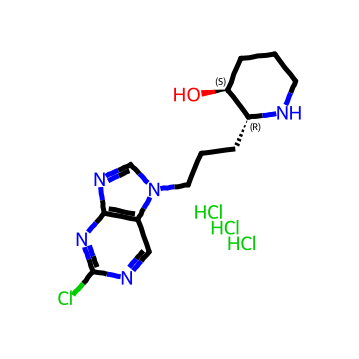 Cl.Cl.Cl.O[C@H]1CCCN[C@@H]1CCCn1cnc2nc(Cl)ncc21